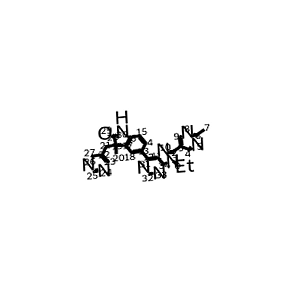 CCn1c(-c2cnc(C)nc2)nc2c(-c3ccc4c(c3)C(C)(Cc3cncnc3)C(=O)N4)ncnc21